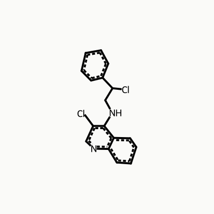 Clc1cnc2ccccc2c1NCC(Cl)c1ccccc1